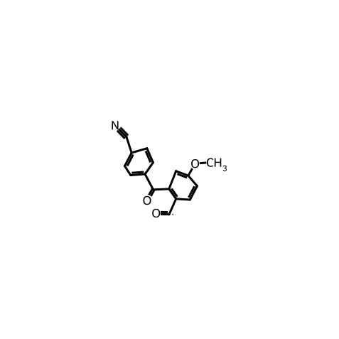 COc1ccc([C]=O)c(C(=O)c2ccc(C#N)cc2)c1